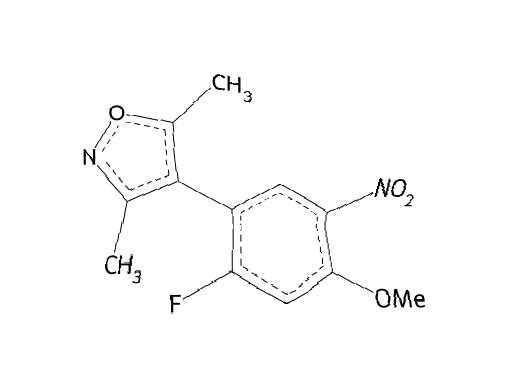 COc1cc(F)c(-c2c(C)noc2C)cc1[N+](=O)[O-]